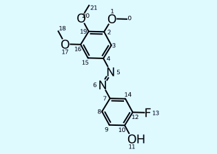 COc1cc(N=Nc2ccc(O)c(F)c2)cc(OC)c1OC